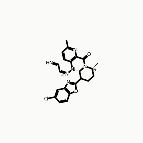 Cc1ccc(N/N=C\C=N)c(C(=O)N2CC(c3nc4cc(Cl)ccc4o3)CC[C@H]2C)n1